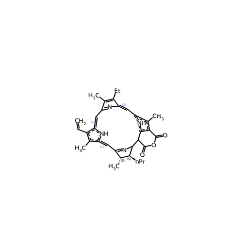 C=Cc1c(C)/c2[nH]/c1=C\C1=NC(=C\c3[nH]c4c(c3C)C(=O)OC(=O)C4C3N=C(/C=2)[C@@H](C)[C@@H]3CCC)/C(CC)=C1C